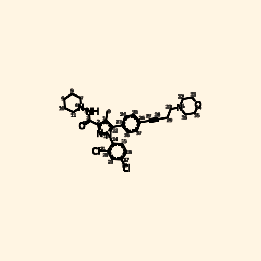 Cc1c(C(=O)NN2CCCCC2)nn(-c2ccc(Cl)cc2Cl)c1-c1ccc(C#CCCN2CCOCC2)cc1